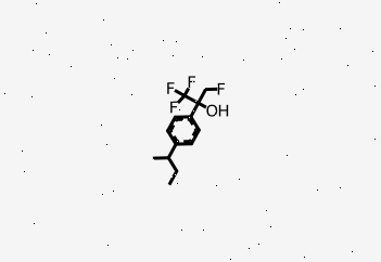 CCC(C)c1ccc(C(O)(CF)C(F)(F)F)cc1